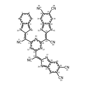 N#CC(=C1N=c2ccccc2=N1)c1nc(C(C#N)=C2N=c3cc(C#N)c(C#N)cc3=N2)nc(C(C#N)=C2N=c3cc(C#N)c(C#N)cc3=N2)n1